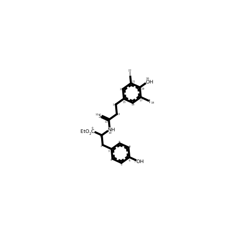 CCOC(=O)C(Cc1ccc(O)cc1)NC(=S)CCc1cc(I)c(O)c(I)c1